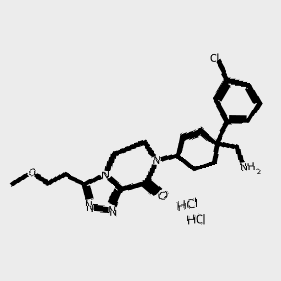 COCCc1nnc2n1CCN(C1CCC(CN)(c3cccc(Cl)c3)CC1)C2=O.Cl.Cl